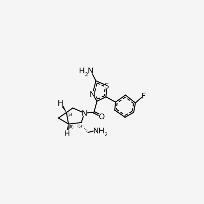 NC[C@@H]1[C@@H]2C[C@@H]2CN1C(=O)c1nc(N)sc1-c1cccc(F)c1